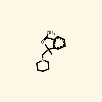 CC(C)(CN1CCCCC1)c1ccccc1C(N)=O